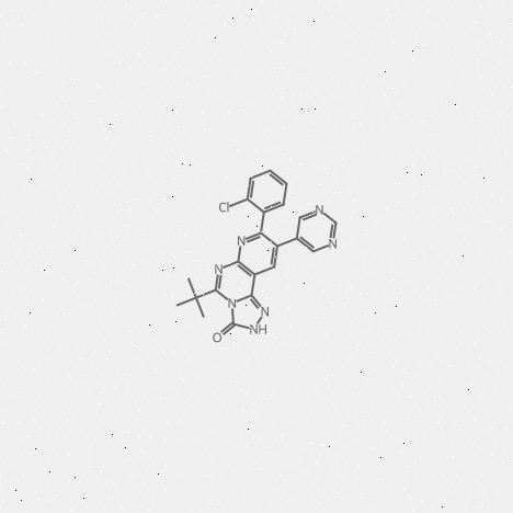 CC(C)(C)c1nc2nc(-c3ccccc3Cl)c(-c3cncnc3)cc2c2n[nH]c(=O)n12